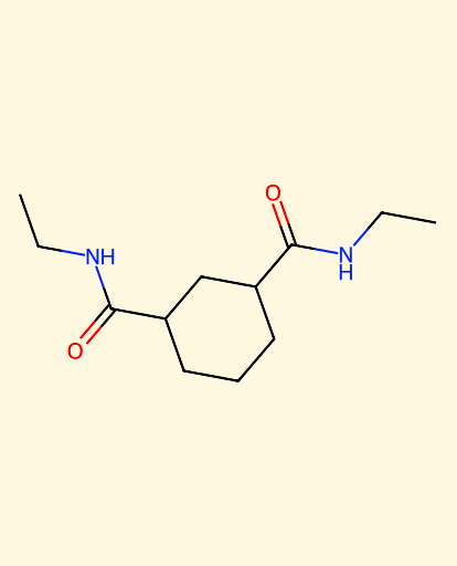 CCNC(=O)C1CCCC(C(=O)NCC)C1